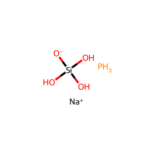 P.[Na+].[O-][Si](O)(O)O